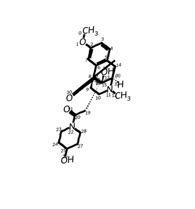 COc1ccc2c(c1)[C@]13CCN(C)[C@H](C2)[C@]1(O)C[C@H](CC(=O)N1CCC(O)CC1)C(=O)C3